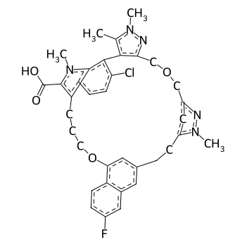 Cc1c2c(nn1C)COCc1cc(n(C)n1)CCc1cc(c3ccc(F)cc3c1)OCCCc1c(C(=O)O)n(C)c3c-2c(Cl)ccc13